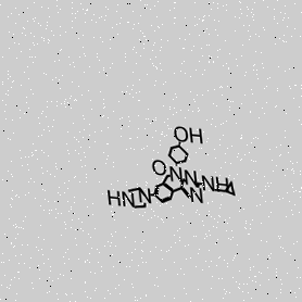 O=c1c2cc(N3CCNCC3)ccc2c2cnc(NCC3CC3)nc2n1[C@H]1CC[C@H](O)CC1